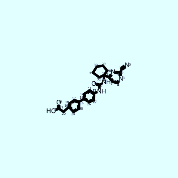 N#Cc1nccc(C2(NC(=O)Nc3ccc(-c4ccc(CC(=O)O)cc4)cc3)CCCCC2)n1